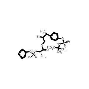 CCOC(=O)C(C)(C)NP(=O)(Oc1ccc(C(C)C(CC)COC(=O)[C@H](C)N[P@](=O)(Oc2ccccc2)C(C)C)cc1)C(C)C